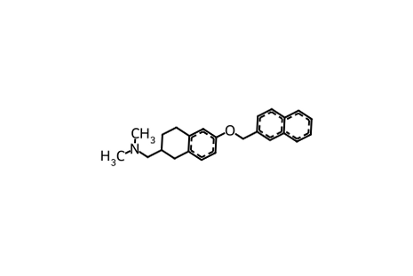 CN(C)CC1CCc2cc(OCc3ccc4ccccc4c3)ccc2C1